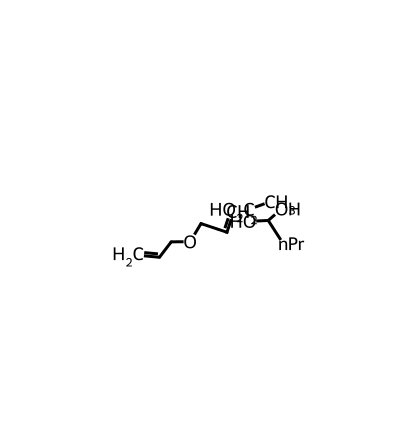 C=CCOCC=C.CC(=O)O.CCCC(O)O